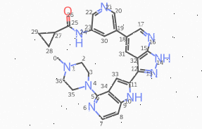 CN1CCN(c2nccc3[nH]c(-c4n[nH]c5ncc(-c6cncc(NC(=O)C7CC7)c6)cc45)cc23)CC1